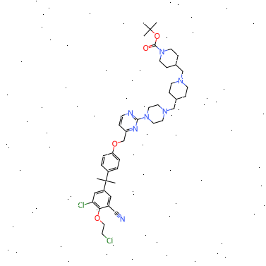 CC(C)(C)OC(=O)N1CCC(CN2CCC(CN3CCN(c4nccc(COc5ccc(C(C)(C)c6cc(Cl)c(OCCCl)c(C#N)c6)cc5)n4)CC3)CC2)CC1